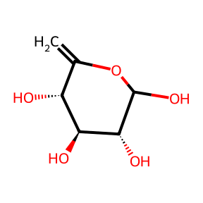 C=C1OC(O)[C@H](O)[C@@H](O)[C@@H]1O